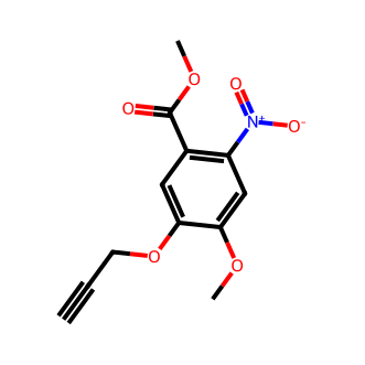 C#CCOc1cc(C(=O)OC)c([N+](=O)[O-])cc1OC